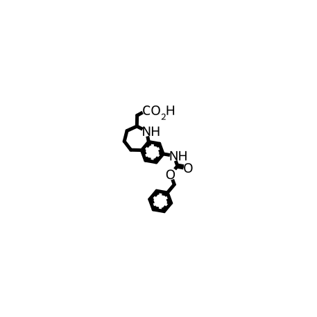 O=C(O)CC1CCCc2ccc(NC(=O)OCc3ccccc3)cc2N1